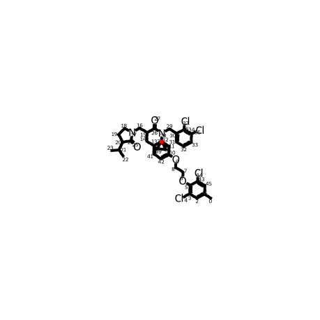 Cc1cc(Cl)c(OCCOc2ccc(CC(CN3CCC(C(C)C)C3=O)C(=O)N(Cc3cccc(Cl)c3Cl)C3CC3)cc2)c(Cl)c1